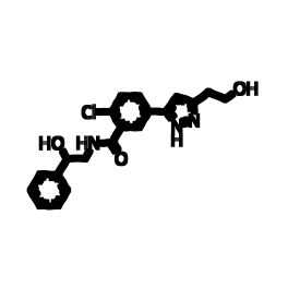 O=C(NCC(O)c1ccccc1)c1cc(-c2cc(CCO)n[nH]2)ccc1Cl